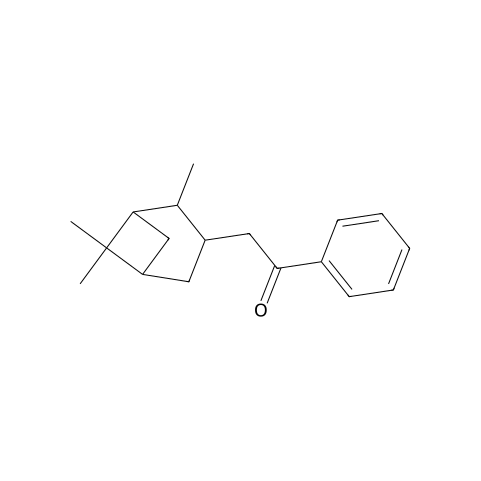 CC1C(CC(=O)c2ccccc2)CC2CC1C2(C)C